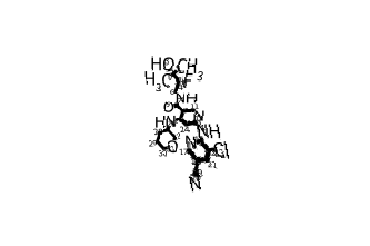 CC(C)(O)[C@H](F)CNC(=O)c1cnc(Nc2ncc(C#N)cc2Cl)cc1NC1CCCOC1